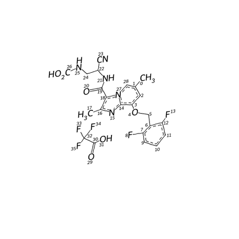 Cc1cc(OCc2c(F)cccc2F)c2nc(C)c(C(=O)NC(C#N)CNC(=O)O)n2c1.O=C(O)C(F)(F)F